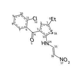 CCc1cc(C(=O)c2ccccc2Cl)c(NC=C[N+](=O)[O-])s1